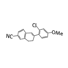 COc1ccc(C2=Cc3ccc(C#N)cc3CC2)c(Cl)c1